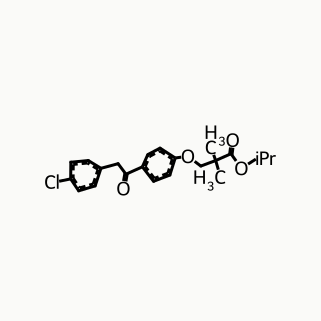 CC(C)OC(=O)C(C)(C)COc1ccc(C(=O)Cc2ccc(Cl)cc2)cc1